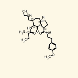 CCNC[C@H]1CC[C@H]2CC[C@@H](C(=O)NCCc3ccc(OC)cc3)N2C(=O)[C@H]1NC(=O)[C@@H](N)CC